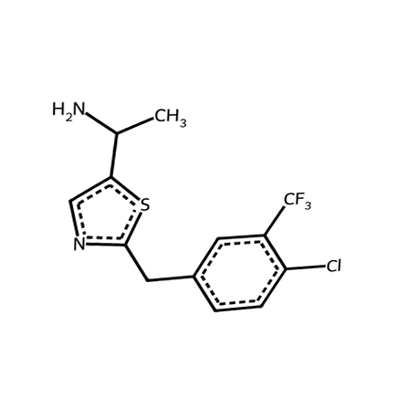 CC(N)c1cnc(Cc2ccc(Cl)c(C(F)(F)F)c2)s1